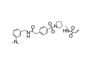 C=CS(=O)(=O)NC[C@H]1CCN(S(=O)(=O)c2ccc(CC(=O)NCc3cccc(N(C)C)c3)cc2)C1